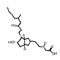 CCCCC(C)CC(O)CC[C@H]1[C@@H]2CC(CC[S+]([O-])CC(=O)O)C[C@@H]2C[C@@H]1O